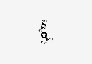 CN(C)c1ccc(Nc2nc(C(C)(C)C)cs2)cc1